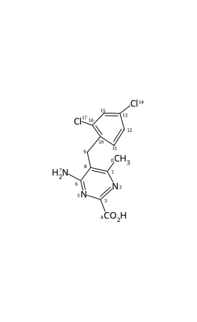 Cc1nc(C(=O)O)nc(N)c1Cc1ccc(Cl)cc1Cl